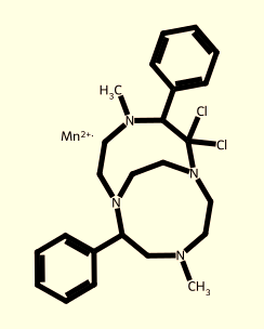 CN1CCN2CCN(CCN(C)C(c3ccccc3)C2(Cl)Cl)C(c2ccccc2)C1.[Mn+2]